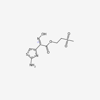 CS(=O)(=O)CCOC(=O)/C(=N\O)c1csc(N)n1